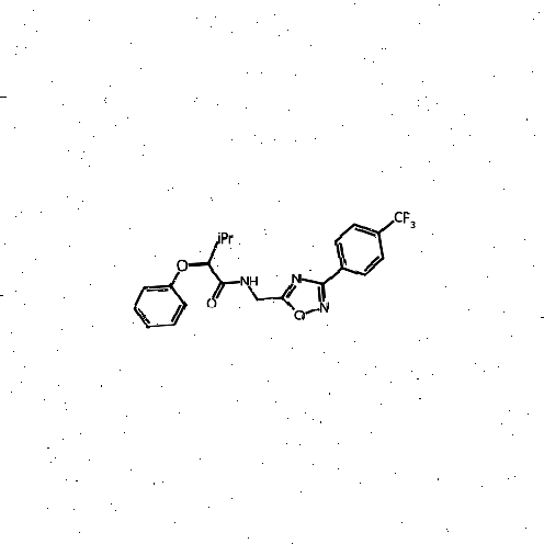 CC(C)C(Oc1ccccc1)C(=O)NCc1nc(-c2ccc(C(F)(F)F)cc2)no1